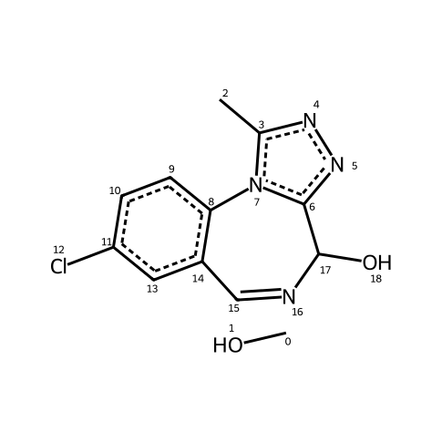 CO.Cc1nnc2n1-c1ccc(Cl)cc1C=NC2O